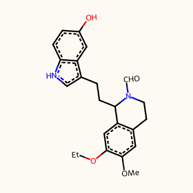 CCOc1cc2c(cc1OC)CCN(C=O)C2CCc1c[nH]c2ccc(O)cc12